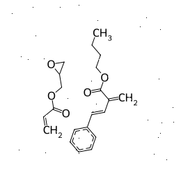 C=C(C=Cc1ccccc1)C(=O)OCCCC.C=CC(=O)OCC1CO1